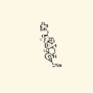 COC1C2[C@H]3CC[C@@H]4[C@H](CC[C@]5(C)[C@@H](C(=O)Cn6ncnn6)CC[C@@H]45)[C@H]3CC[C@]12O